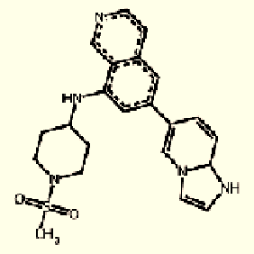 CS(=O)(=O)N1CCC(Nc2cc(C3=CN4C=CNC4C=C3)cc3ccncc23)CC1